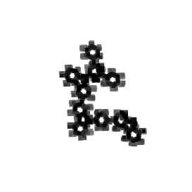 c1ccc(-c2cc(-n3c4ccccc4c4cc(-c5ccc6c7ccccc7n(-c7ccc(-c8cnc9sc%10ccccc%10c9c8)cc7)c6c5)ccc43)nc(-c3ccccc3)n2)cc1